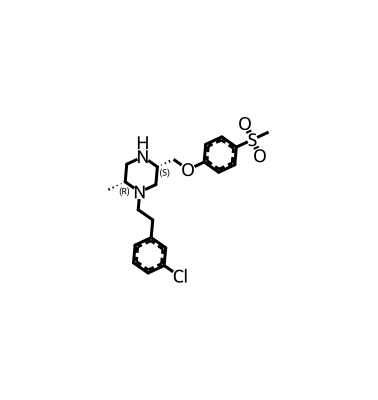 C[C@@H]1CN[C@H](COc2ccc(S(C)(=O)=O)cc2)CN1CCc1cccc(Cl)c1